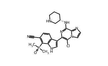 CP(C)(=O)c1c(C#N)ccc2c(-c3nc(N[C@H]4CCCNC4)c4nccn4c3Cl)c[nH]c12